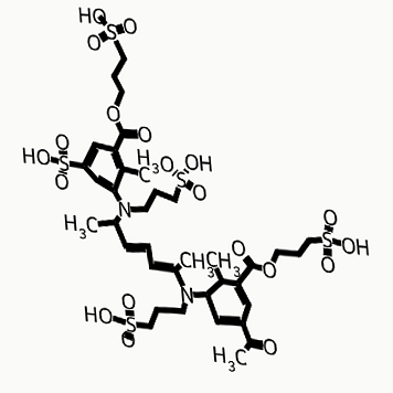 CC(=O)C1=CC(N(CCCS(=O)(=O)O)/C(C)=C/C=C/C(C)N(CCCS(=O)(=O)O)c2cc(S(=O)(=O)O)cc(C(=O)OCCCS(=O)(=O)O)c2C)C(C)C(C(=O)OCCCS(=O)(=O)O)=C1